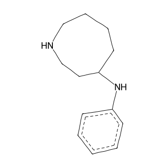 c1ccc(NC2CCCCNCC2)cc1